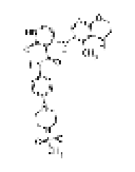 Cc1c(Nc2cc[nH]c(=O)c2C(=O)Nc2ccc(N3CCN(S(C)(=O)=O)CC3)cc2)cnc2c1NCCO2